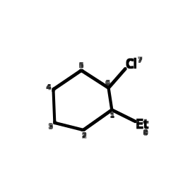 [CH2]CC1CCCCC1Cl